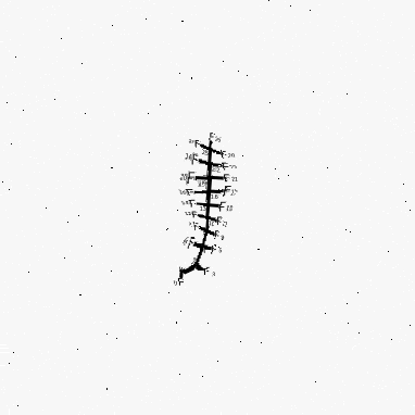 F/[C]=C(\F)C(F)(F)C(F)(F)C(F)(F)C(F)(F)C(F)(F)C(F)(F)C(F)(F)C(F)(F)F